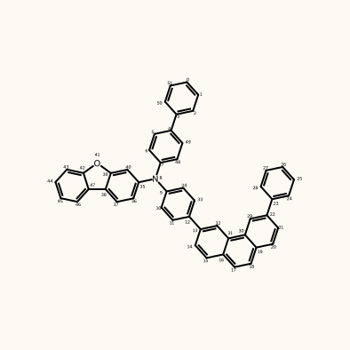 c1ccc(-c2ccc(N(c3ccc(-c4ccc5ccc6ccc(-c7ccccc7)cc6c5c4)cc3)c3ccc4c(c3)oc3ccccc34)cc2)cc1